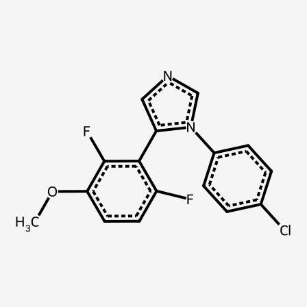 COc1ccc(F)c(-c2cncn2-c2ccc(Cl)cc2)c1F